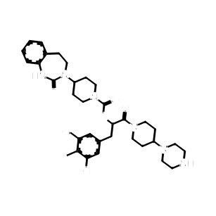 Cc1c(Cl)cc(CC(OC(=O)N2CCC(N3CCc4ccccc4NC3=O)CC2)C(=O)N2CCC(N3CCNCC3)CC2)cc1Cl